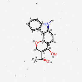 Cn1c2ccccc2c2c3c(ccc21)C(O)=C(C(=O)C(F)(F)F)CO3